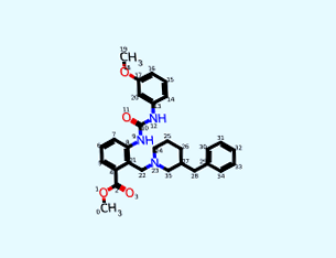 COC(=O)c1cccc(NC(=O)Nc2cccc(OC)c2)c1CN1CCCC(Cc2ccccc2)C1